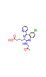 CC(=O)CNC1=Nc2ccc(Br)cc2C(c2ccccn2)=NC1CCCC(=O)O